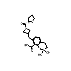 O=C(O)c1c(OC2CN(C(=O)[C@@H]3CCCO3)C2)ccc2c1O[B-](O)(O)CC2